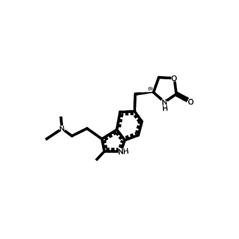 Cc1[nH]c2ccc(C[C@H]3COC(=O)N3)cc2c1CCN(C)C